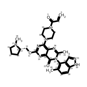 C=CC(=O)N1CCN(c2nc(OC[C@@H]3CCCN3C)nc3c(=O)n(-c4c(C)ccc5[nH]ncc45)c(C)nc23)CC1